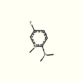 C[n+]1cc(F)ccc1P(C)C